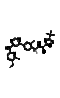 CCc1ccc(Nc2cc(-c3ccc([C@@H](C)NC(=O)c4nc(C(C)(C)C)no4)c(C)c3)ncn2)nc1C